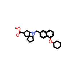 COC(=O)C1CC2N(Cc3ccc4c(OC5CCCCC5)cccc4c3)C3CCCC32C1